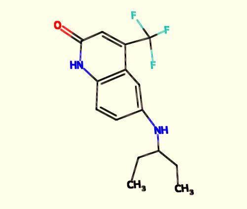 CCC(CC)Nc1ccc2[nH]c(=O)cc(C(F)(F)F)c2c1